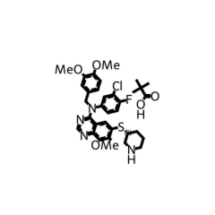 CC(C)(C)C(=O)O.COc1ccc(CN(c2ccc(F)c(Cl)c2)c2ncnc3cc(OC)c(S[C@@H]4CCCNC4)cc23)cc1OC